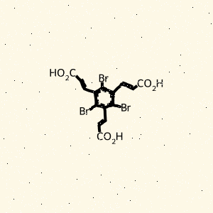 O=C(O)C=Cc1c(Br)c(C=CC(=O)O)c(Br)c(C=CC(=O)O)c1Br